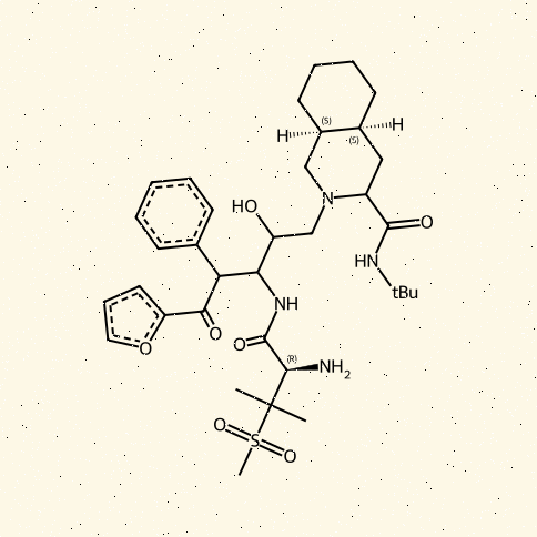 CC(C)(C)NC(=O)C1C[C@@H]2CCCC[C@@H]2CN1CC(O)C(NC(=O)[C@@H](N)C(C)(C)S(C)(=O)=O)C(C(=O)c1ccco1)c1ccccc1